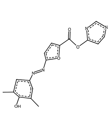 Cc1cc(/N=N/c2ccc(C(=O)Oc3ccncn3)o2)cc(C)c1O